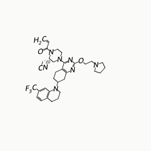 C=CC(=O)N1CCN(c2nc(OCCN3CCCC3)nc3c2CCC(N2CCCc4ccc(C(F)(F)F)cc42)C3)C[C@@H]1CC#N